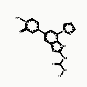 CCCn1ccc(-c2cc(-n3cccn3)c3[nH]c(NC(=O)NCC)nc3c2)cc1=O